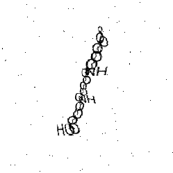 O=C(O)CCOCCOCCOCCNC(=O)CCOCCOCCOCCC(=O)NCCOCCOCCOCCC(=O)OCc1ccccc1